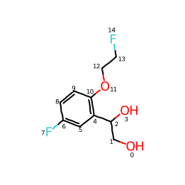 OCC(O)c1cc(F)ccc1OCCF